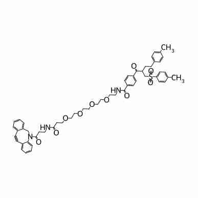 Cc1ccc(CCC(CS(=O)(=O)c2ccc(C)cc2)C(=O)c2ccc(C(=O)NCCOCCOCCOCCOCCC(=O)NCCC(=O)N3Cc4ccccc4C#Cc4ccccc43)cc2)cc1